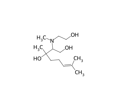 CC(C)=CCCC(C)(O)C(CO)N(C)CCO